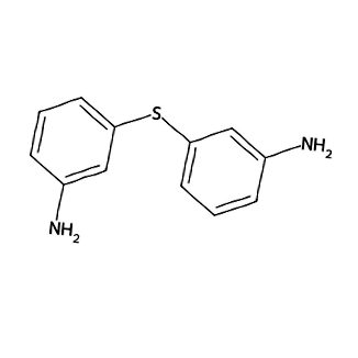 Nc1cccc(Sc2cccc(N)c2)c1